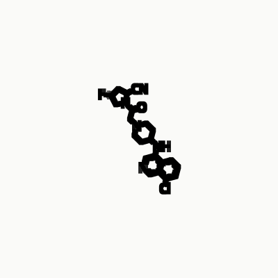 N#CC1C[C@H](F)CN1C(=O)CN1CCC(Nc2cncc3c(Cl)cccc23)CC1